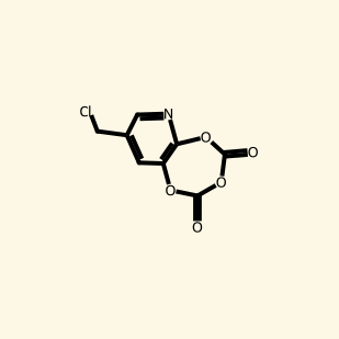 O=C1OC(=O)Oc2ncc(CCl)cc2O1